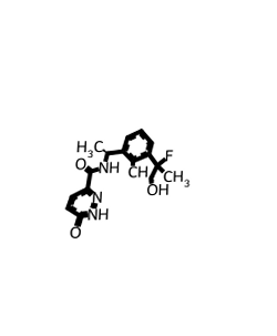 Cc1c([C@@H](C)NC(=O)c2ccc(=O)[nH]n2)cccc1C(C)(F)CO